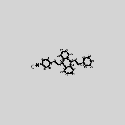 [C-]#[N+]c1ccc(C=Cc2c3ccccc3c(C=Cc3ccccc3)c3ccccc23)cc1